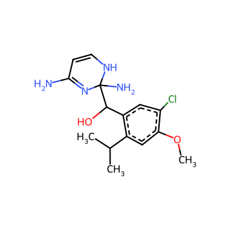 COc1cc(C(C)C)c(C(O)C2(N)N=C(N)C=CN2)cc1Cl